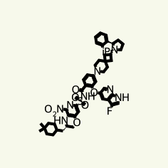 CC(C)c1ccccc1[C@H]1CCCN1C1CC2(CCN(c3ccc(C(=O)NS(=O)(=O)c4cc5c(c([N+](=O)[O-])n4)N[C@@H](CC4CCC(C)(C)CC4)CO5)c(Oc4cnc5[nH]cc(F)c5c4)c3)CC2)C1